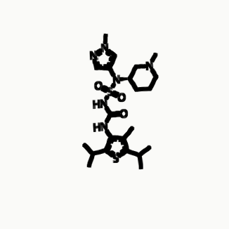 Cc1c(C(C)C)sc(C(C)C)c1NC(=O)NS(=O)(=O)N(c1cnn(C)c1)[C@@H]1CCCN(C)C1